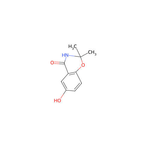 CC1(C)NC(=O)c2cc(O)ccc2O1